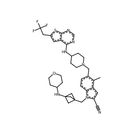 Cc1c(CN2CCC(Nc3ncnc4sc(CC(F)(F)F)cc34)CC2)ccc2c1cc(C#N)n2CC12CC(NC3CCOCC3)(C1)C2